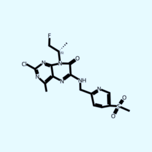 Cc1nc(Cl)nc2c1nc(NCc1ccc(S(C)(=O)=O)cn1)c(=O)n2[C@@H](C)CF